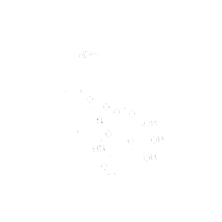 C=CC.CCCCCCCCCCCCCCCCCC(=O)OC[C@@H](O)[C@H]1OC[C@H](O)[C@H]1O.CN(C(=O)COc1ccccc1)c1ccccc1C(=O)NCc1ccco1